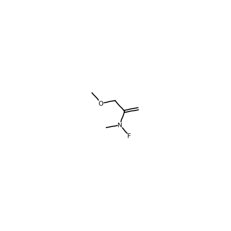 C=C(COC)N(C)F